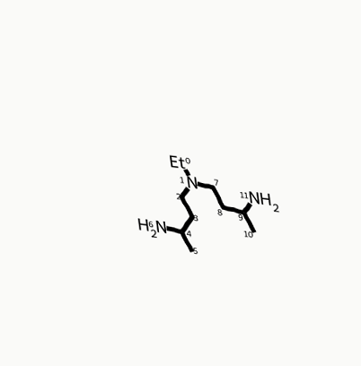 CCN(CCC(C)N)CCC(C)N